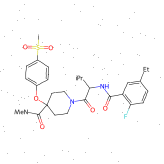 CCc1ccc(F)c(C(=O)NC(C(=O)N2CCC(Oc3ccc(S(C)(=O)=O)cc3)(C(=O)NC)CC2)C(C)C)c1